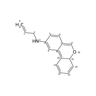 C=CCNc1ccc2c(c1)=C1C=CC=CC1OC=2